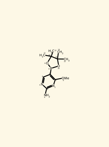 COc1nc(N)ncc1B1OC(C)(C)C(C)(C)O1